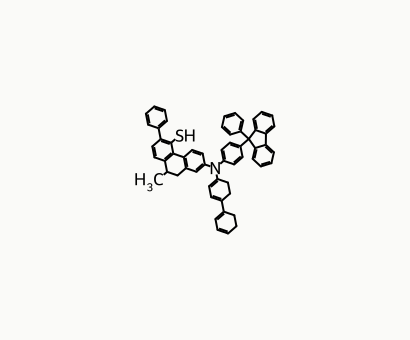 CC1Cc2cc(N(C3=CC=C(C4=CC=CCC4)CC3)c3ccc(C4(c5ccccc5)c5ccccc5-c5ccccc54)cc3)ccc2-c2c1ccc(-c1ccccc1)c2S